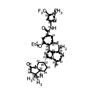 CCOc1cc(C(=O)Nc2cc(C(F)(F)F)n(C)n2)cc(F)c1-c1nc([C@@H]2CC[C@@H]3N(C2)C(=O)CC3(C)C)n2c(F)cnc(N)c12